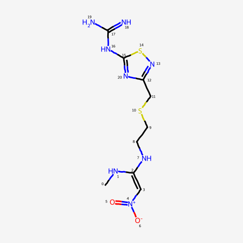 CN/C(=C\[N+](=O)[O-])NCCSCc1nsc(NC(=N)N)n1